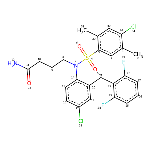 Cc1cc(S(=O)(=O)N(CCCC(N)=O)c2ccc(Cl)cc2Cc2c(F)cccc2F)c(C)cc1Cl